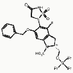 CC(C)[Si](OC[C@H]1Cc2c(cc(OCc3ccccc3)c(N3CC(=O)NS3(=O)=O)c2F)N1C(=O)O)(C(C)C)C(C)C